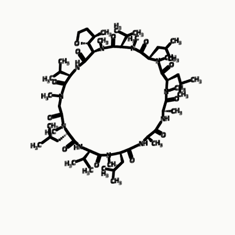 CC(C)C[C@@H]1C(=O)N(C)[C@H](CC(C)C)C(=O)N(C)[C@H](C(C)C)C(=O)N(C)[C@H]([C@@H]2OCC[C@H]2C)C(=O)N[C@H](C(C)C)C(=O)N(C)CC(=O)N(C)[C@@H](CC(C)C)C(=O)N[C@H](C(C)C)C(=O)N(C)[C@H](CC(C)C)C(=O)N[C@H](C)C(=O)N[C@@H](C)C(=O)N1C